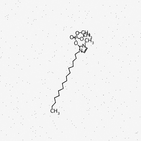 CCCCCCCCCCCCCCCCN1C=CN(C)C1OP(=O)(OC)OC